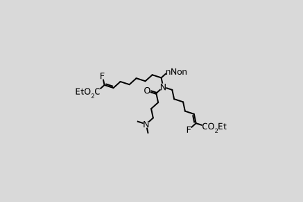 CCCCCCCCCC(CCCCC/C=C(\F)C(=O)OCC)N(CCCC/C=C(\F)C(=O)OCC)C(=O)CCCN(C)C